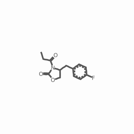 CCC(=O)N1C(=O)OCC1Cc1ccc(F)cc1